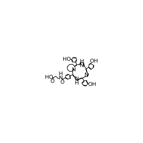 O=C(O)CCNC(=O)c1ccc(-c2c3nc(c(-c4cccc(O)c4)c4ccc([nH]4)c(-c4cccc(O)c4)c4nc(c(-c5cccc(O)c5)c5ccc2[nH]5)C=C4)CCCCC3)cc1